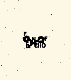 O=Cc1c(-c2ccc(F)cc2)nn(-c2cc(F)ccc2F)c1Br